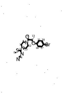 CS/C(=N\C#N)N1CCN(C(=O)[C@H](C)Oc2ccc(Br)cc2)CC1